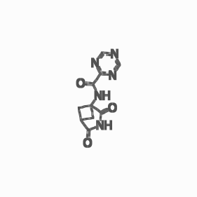 O=C(NC12CC(C1)C(=O)NC2=O)c1ncncn1